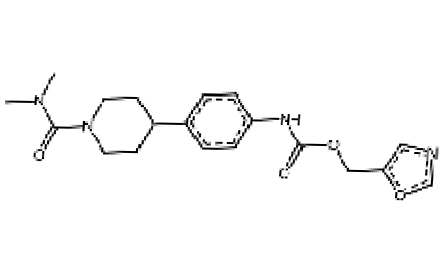 CN(C)C(=O)N1CCC(c2ccc(NC(=O)OCc3cnco3)cc2)CC1